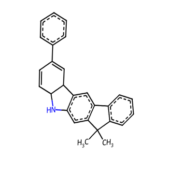 CC1(C)c2ccccc2-c2cc3c(cc21)NC1C=CC(c2ccccc2)=CC31